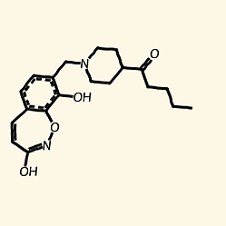 CCCCC(=O)C1CCN(Cc2ccc3c(c2O)ON=C(O)C=C3)CC1